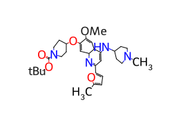 COC1=CC2C(NC3CCN(C)CC3)=CC(c3ccc(C)o3)=NC2C=C1OC1CCN(C(=O)OC(C)(C)C)CC1